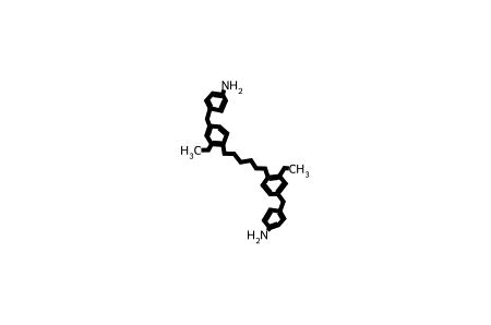 CCc1cc(Cc2ccc(N)cc2)ccc1CCCCCCc1ccc(Cc2ccc(N)cc2)cc1CC